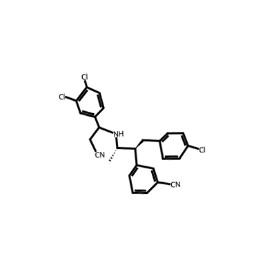 C[C@H](NC(CC#N)c1ccc(Cl)c(Cl)c1)[C@@H](Cc1ccc(Cl)cc1)c1cccc(C#N)c1